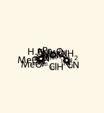 CCC[C@H]1CN(C(=O)C[C@@H](N)c2ccc(C#N)cc2)CCN1c1nc(N)c2cc(OC)c(OC)c(F)c2n1.Cl